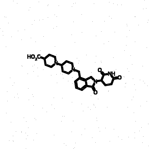 O=C1CCC(N2Cc3c(CN4CCC(N5CCC(C(=O)O)CC5)CC4)cccc3C2=O)C(=O)N1